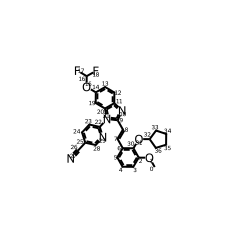 COc1cccc(/C=C/c2nc3ccc(OC(F)F)cc3n2-c2ccc(C#N)cn2)c1OC1CCCC1